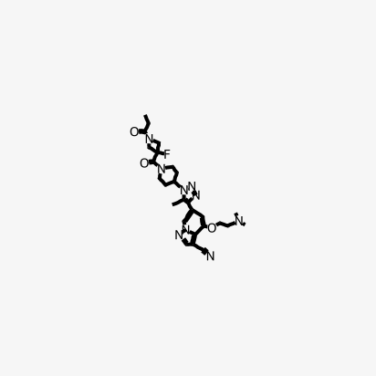 CCC(=O)N1CC(F)(C(=O)N2CCC(n3nnc(-c4cc(OCCN(C)C)c5c(C#N)cnn5c4)c3C)CC2)C1